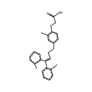 O=C(O)COc1ccc(SCC=C(c2ccccc2F)c2ccccc2F)cc1I